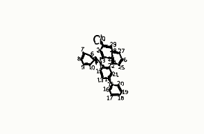 Clc1cc(N(c2ccccc2)c2ccc(-c3ccccc3)cc2)c2ccccc2c1